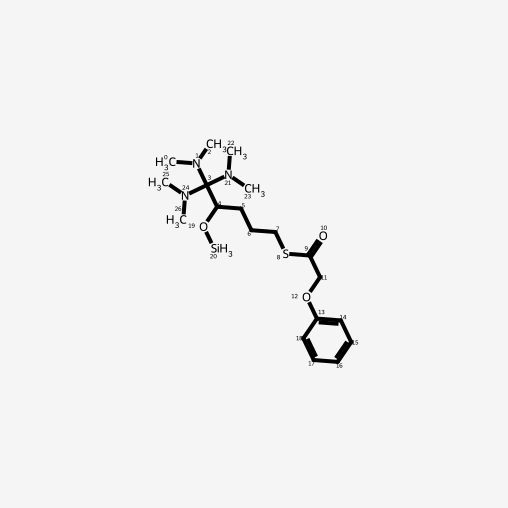 CN(C)C(C(CCCSC(=O)COc1ccccc1)O[SiH3])(N(C)C)N(C)C